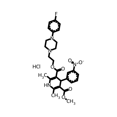 COC(=O)C1=C(C)NC(C)=C(C(=O)OCCN2CCN(c3ccc(F)cc3)CC2)C1c1cccc([N+](=O)[O-])c1.Cl